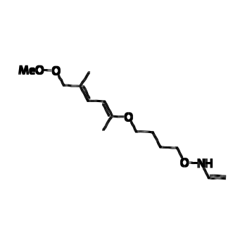 C=CNOCCCCO/C(C)=C/C=C(\C)COOC